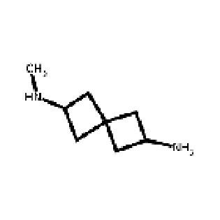 CNC1CC2(CC(N)C2)C1